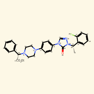 CCOC(=O)[C@H](c1ccccc1)N1CCN(c2ccc(-n3cnn([C@@H](C)c4ccccc4F)c3=O)cc2)CC1